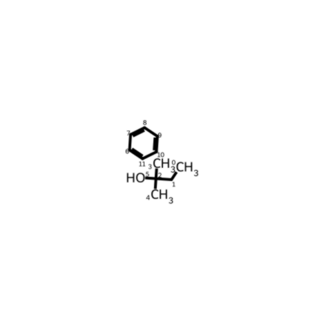 CCC(C)(C)O.c1ccccc1